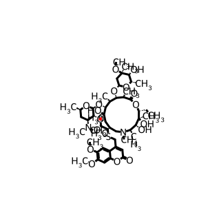 CC[C@H]1OC(=O)[C@H](C)[C@@H](O[C@H]2C[C@@](C)(OC)[C@@H](O)[C@H](C)O2)[C@H](C)[C@@H](O[C@@H]2O[C@H](C)C[C@H](N(C)C)[C@H]2OC(=O)CSCc2cc(=O)oc3cc(OC)c(OC)cc23)[C@](C)(O)C[C@@H](C)CN(C)[C@H](C)[C@@H](O)[C@]1(C)O